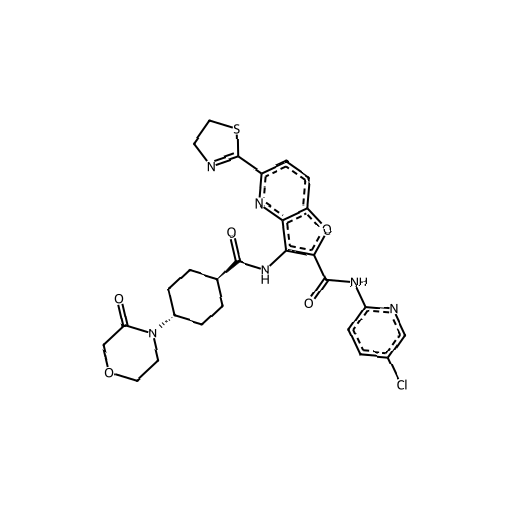 O=C(Nc1ccc(Cl)cn1)c1oc2ccc(C3=NCCS3)nc2c1NC(=O)[C@H]1CC[C@H](N2CCOCC2=O)CC1